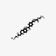 CCOC(=O)CC1CCc2cc(NC(=O)c3ccc(C=NNC(=O)OCC)cc3)ccc2O1